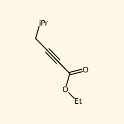 CCOC(=O)C#CCC(C)C